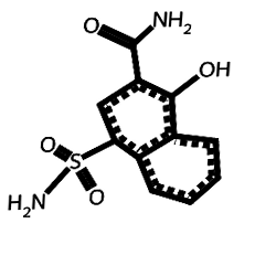 NC(=O)c1cc(S(N)(=O)=O)c2ccccc2c1O